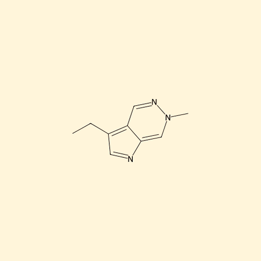 CCc1cnc2cn(C)ncc1-2